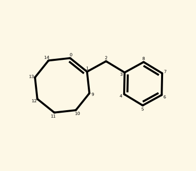 C1=C(Cc2ccccc2)CCCCCC1